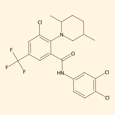 CC1CCC(C)N(c2c(Cl)cc(C(F)(F)F)cc2C(=O)Nc2ccc(Cl)c(Cl)c2)C1